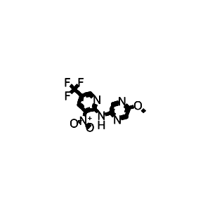 COc1cnc(Nc2ncc(C(F)(F)F)cc2[N+](=O)[O-])cn1